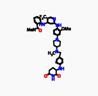 CNC(=O)c1ccccc1Nc1cc(Nc2ccc(N3CCC(N(C)Cc4ccc(NC5CCC(=O)NC5=O)cc4)CC3)cc2OC)ncc1C(F)(F)F